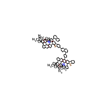 CC(C)(C)c1cc(-c2cccc3cccc(-c4ccccc4N(c4ccc(-c5ccc(-c6cccc7cc(-c8ccc9c(c8)sc8c(-c%10ccccc%10N(c%10ccc(-c%11cccc%12ccccc%11%12)cc%10)c%10ccccc%10-c%10cccc%11cccc(-c%12cc(C(C)(C)C)cc(C(C)(C)C)c%12)c%10%11)cccc89)ccc67)cc5)cc4)c4ccccc4-c4cccc5c4sc4ccccc45)c23)cc(C(C)(C)C)c1